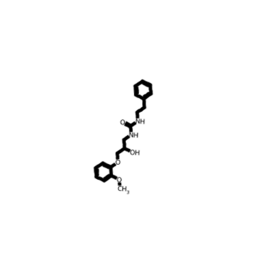 COc1ccccc1OCC(O)CNC(=O)NCCc1ccccc1